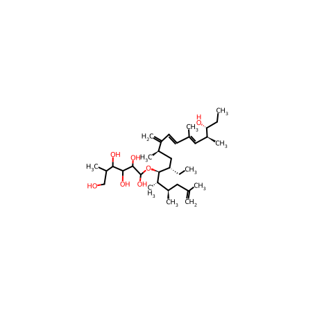 C=C(C)C[C@@H](C)[C@H](C)[C@@H](OC(O)C(O)C(O)C(O)C(C)CO)[C@@H](CC)C[C@@H](C)C(=C)/C=C/C(C)=C/[C@H](C)[C@H](O)CC